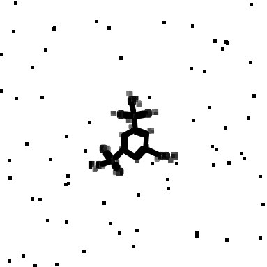 O=C(O)c1cc(S(=O)(=O)C(F)(F)F)cc(S(=O)(=O)C(F)(F)F)c1